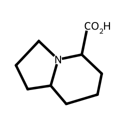 O=C(O)C1CCCC2CCCN21